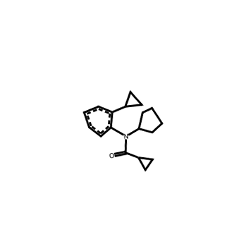 O=C(C1CC1)N(c1ccccc1C1CC1)C1CCCC1